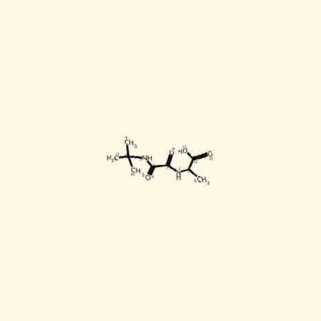 CC(NC(=O)C(=O)NC(C)(C)C)C(=O)O